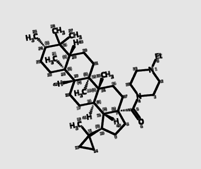 CCN1CCN(C(=O)[C@]23CC[C@@H](C4(C)CC4)[C@@H]2[C@H]2CC[C@@H]4[C@@]5(C)CC[C@H](C)C(C)(C)[C@@H]5CC[C@@]4(C)[C@]2(C)CC3)CC1